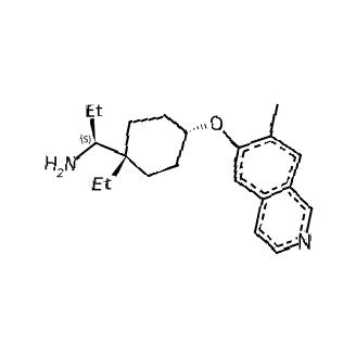 CC[C@H](N)[C@]1(CC)CC[C@H](Oc2cc3ccncc3cc2C)CC1